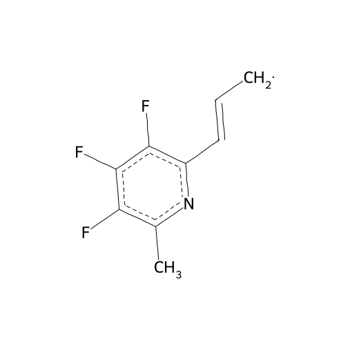 [CH2]/C=C/c1nc(C)c(F)c(F)c1F